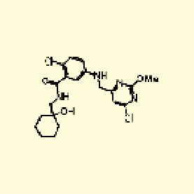 COc1nc(Cl)cc(CNc2ccc(Cl)c(C(=O)NCC3(O)CCCCC3)c2)n1